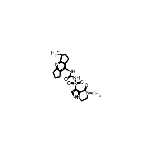 CC1CCc2c1nc1c(c2NC(=O)NS(=O)(=O)c2cnn3c2C(=O)N(C)CC3)CCC1